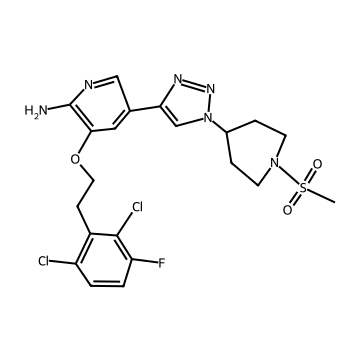 CS(=O)(=O)N1CCC(n2cc(-c3cnc(N)c(OCCc4c(Cl)ccc(F)c4Cl)c3)nn2)CC1